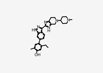 CCc1cc(O)c(C)cc1-c1ccc2c(-c3nc4c([nH]3)CN(C3CCN(C)CC3)CC4)n[nH]c2c1